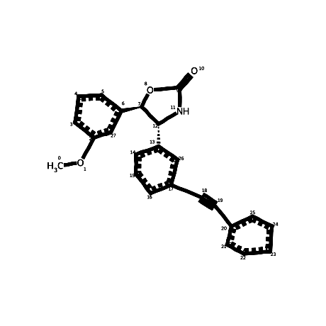 COc1cccc([C@H]2OC(=O)N[C@@H]2c2cccc(C#Cc3ccccc3)c2)c1